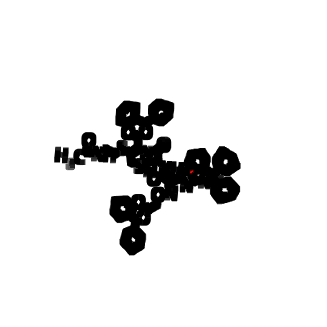 CC(=O)NCCSC1=C(C(=O)OC(c2ccccc2)c2ccccc2)N2C(=O)[C@@H](NC(=O)/C(=N\OCC(=O)OC(c3ccccc3)c3ccccc3)c3csc(NC(c4ccccc4)(c4ccccc4)c4ccccc4)n3)[C@@H]2SC1